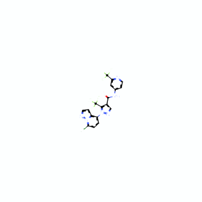 O=C(Nc1ccnc(C(F)(F)F)c1)c1cnn(-c2ccc(Cl)n3nccc23)c1C(F)(F)F